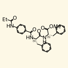 CCC(=O)Nc1ccc(C(=O)N[C@@H](Cc2ccccc2)C(=O)N[C@@H](Cc2ccccc2)C(=O)OC)cc1